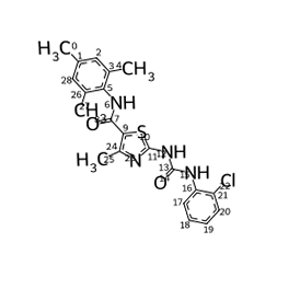 Cc1cc(C)c(NC(=O)c2sc(NC(=O)Nc3ccccc3Cl)nc2C)c(C)c1